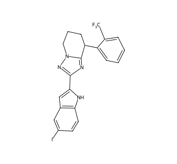 FC(F)(F)c1ccccc1C1CCCn2nc(-c3cc4cc(I)ccc4[nH]3)nc21